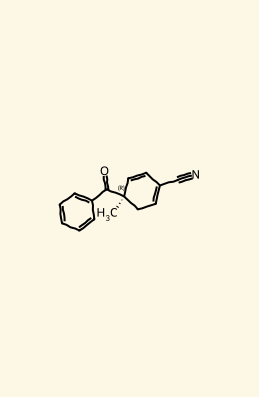 C[C@]1(C(=O)c2ccccc2)C=CC(C#N)=CC1